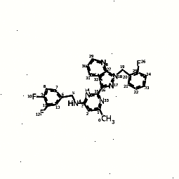 Cc1cc(NCc2ccc(F)c(F)c2)nc(-c2nn(Cc3ccccc3F)c3ncccc23)n1